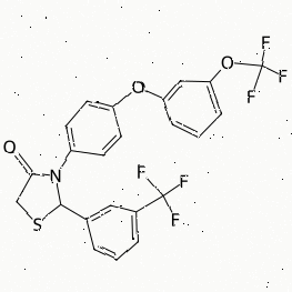 O=C1CSC(c2cccc(C(F)(F)F)c2)N1c1ccc(Oc2cccc(OC(F)(F)F)c2)cc1